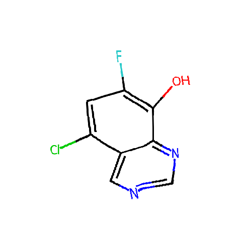 Oc1c(F)cc(Cl)c2cncnc12